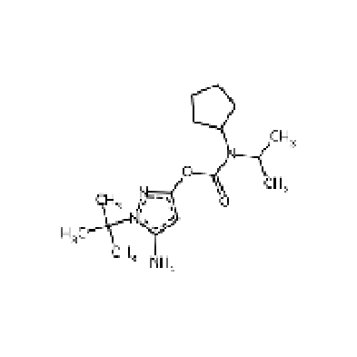 CC(C)N(C(=O)Oc1cc(N)n(C(C)(C)C)n1)C1CCCC1